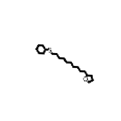 C(CCCCCC1CCCO1)CCCCSC1CCCCC1